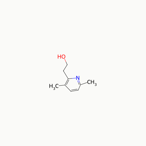 Cc1ccc(C)c(CCO)n1